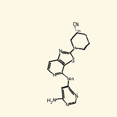 N#C[C@@H]1CCCN(c2nc3ccnc(Nc4cc(N)ncn4)c3s2)C1